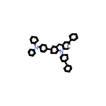 c1ccc(-c2ccc(N3c4ccc(-c5ccccc5)cc4Cc4cc(-c5ccc(N(c6ccccc6)c6ccccc6)cc5)ccc43)cc2)cc1